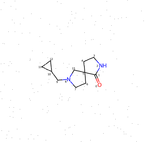 O=C1NCCC12CCN(CC1CC1)C2